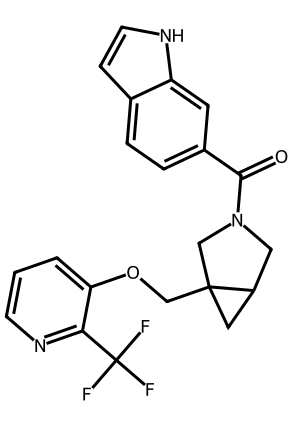 O=C(c1ccc2cc[nH]c2c1)N1CC2CC2(COc2cccnc2C(F)(F)F)C1